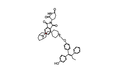 CCC(=C(c1ccc(O)cc1)c1ccc(OCCN2CCC(CN3CC4CCC(C3)N4c3ccc4c(c3)C(=O)N(C3CCC(=O)NC3=O)C4=O)CC2)cc1)c1ccccc1